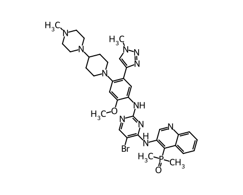 COc1cc(N2CCC(N3CCN(C)CC3)CC2)c(-c2cn(C)nn2)cc1Nc1ncc(Br)c(Nc2cnc3ccccc3c2P(C)(C)=O)n1